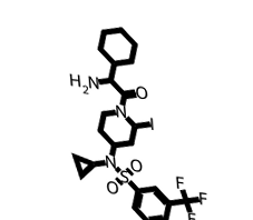 NC(C(=O)N1CCC(N(C2CC2)S(=O)(=O)c2cccc(C(F)(F)F)c2)CC1I)C1CCCCC1